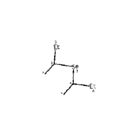 CCC(C)[Se]C(C)CC